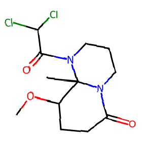 COC1CCC(=O)N2CCCN(C(=O)C(Cl)Cl)C12C